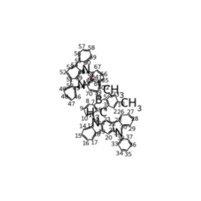 Cc1cc(C)c(B(c2cccc(-n3c4ccccc4c4cc5c(cc43)c3ccccc3n5-c3ccccc3)c2)c2cccc(-n3c4ccccc4c4ccc5c6ccccc6n(-c6ccccc6)c5c43)c2)c(C)c1